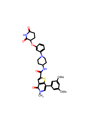 COc1cc(OC)cc(-c2cn(C)c(=O)c3cc(C(=O)NC4CCN(c5cccc(OC6CCC(=O)NC6=O)c5)CC4)sc23)c1